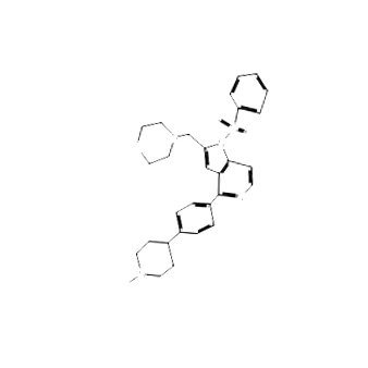 O=C(O)N1CCC(c2ccc(-c3nccc4c3cc(CN3CCOCC3)n4S(=O)(=O)c3ccccc3)cc2)CC1